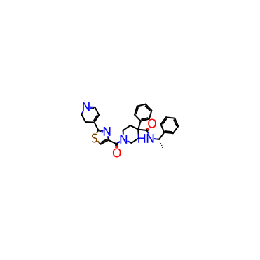 C[C@H](NC(=O)C1(c2ccccc2)CCN(C(=O)c2csc(C3=CC=NCC3)n2)CC1)c1ccccc1